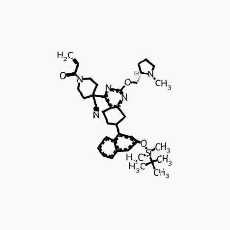 C=CC(=O)N1CCC(C#N)(c2nc(OC[C@@H]3CCCN3C)nc3c2CCC(c2cc(O[Si](C)(C)C(C)(C)C)cc4ccccc24)C3)CC1